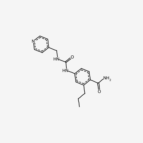 CCCc1cc(NC(=O)NCc2ccncc2)ccc1C(N)=O